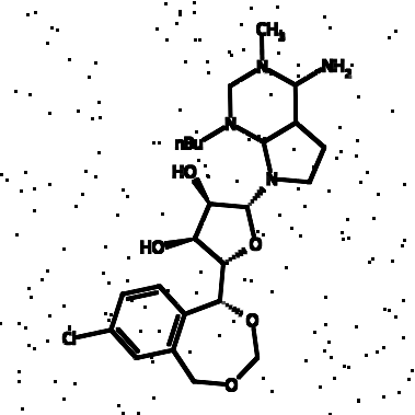 CCCCN1CN(C)C(N)C2CCN([C@@H]3O[C@H]([C@@H]4OCOCc5cc(Cl)ccc54)[C@@H](O)[C@H]3O)C21